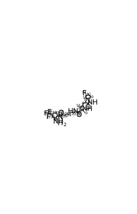 Cc1[nH]c(/C=C2\C(=O)Nc3ccc(F)cc32)c(C)c1C(=O)NCCCCCC(=O)Nc1ccc(C(F)(F)F)cc1N